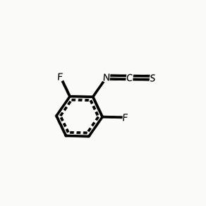 Fc1cccc(F)c1N=C=S